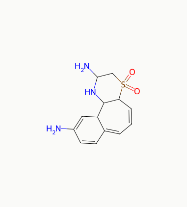 NC1=CC2C(=CC=CC3C2NC(N)CS3(=O)=O)C=C1